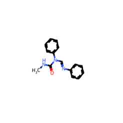 CNC(=O)N(C=Nc1ccccc1)c1ccccc1